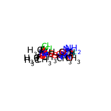 CCOc1cc(C(C)(C)C)ccc1C1=C[C@@](C)(c2ccc(Cl)cc2)[C@@H](c2ccc(Cl)cc2)N1C(=O)N1CCN(CCOCCOCCC(=O)N(C)CCn2nc3c(c2OC)-c2cnc(N)c(c2)N2CCC[C@@H]2c2cc(F)ccc2C(=O)N(C)C3)CC1